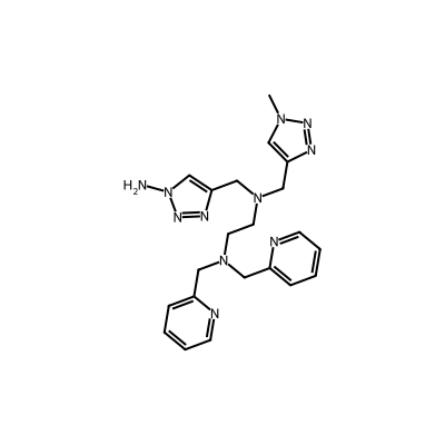 Cn1cc(CN(CCN(Cc2ccccn2)Cc2ccccn2)Cc2cn(N)nn2)nn1